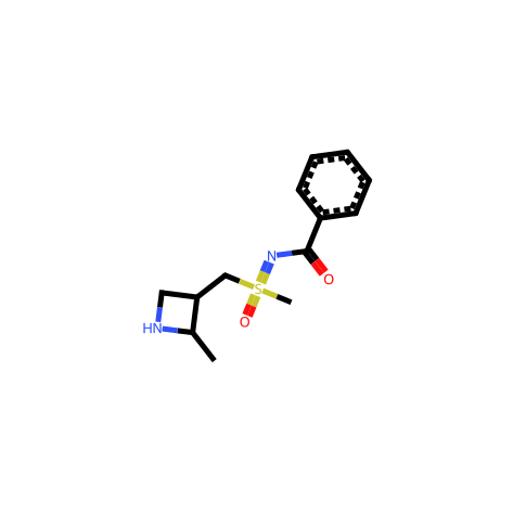 CC1NCC1CS(C)(=O)=NC(=O)c1ccccc1